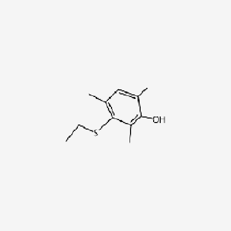 CCSc1c(C)cc(C)c(O)c1C